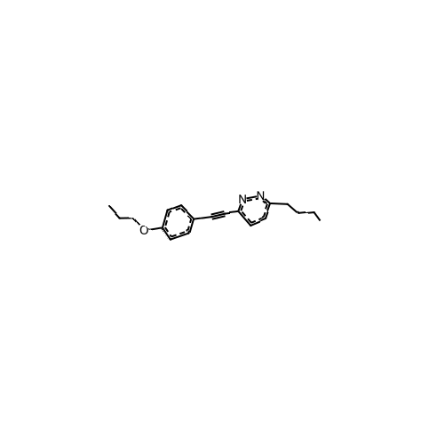 CCCCc1ccc(C#Cc2ccc(OCCC)cc2)nn1